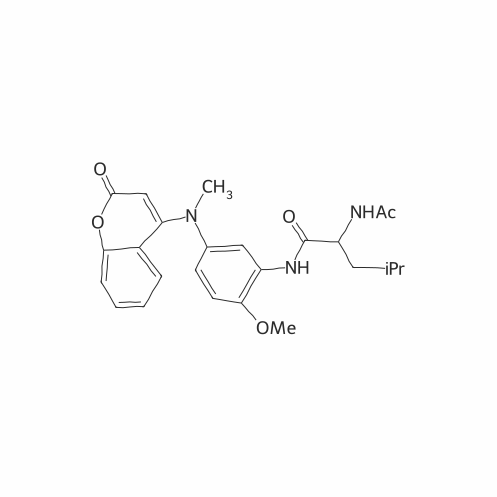 COc1ccc(N(C)c2cc(=O)oc3ccccc23)cc1NC(=O)C(CC(C)C)NC(C)=O